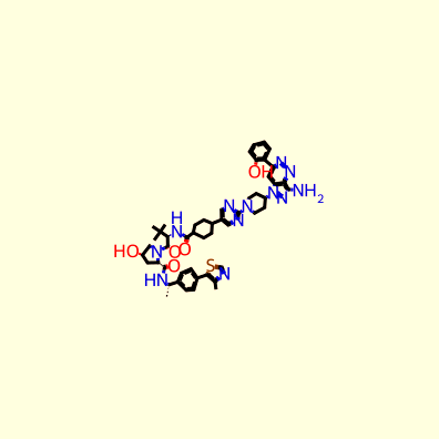 Cc1ncsc1-c1ccc([C@H](C)NC(=O)[C@@H]2C[C@@H](O)CN2C(=O)[C@@H](NC(=O)C2CCC(c3cnc(N4CCC(n5nc(N)c6nnc(-c7ccccc7O)cc65)CC4)nc3)CC2)C(C)(C)C)cc1